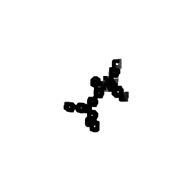 Clc1ccc(-c2nc(-c3ccc(Cl)cc3)nc(-n3c4ccccc4c4cc(-c5ccc(N(c6ccc(-c7ccccc7)cc6)c6ccc7c(c6)oc6ccccc67)cc5)ccc43)n2)cc1